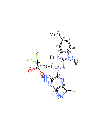 CCn1c(CN(C=O)c2nc3c(C)n[nH]c3nc2N)[n+](CC)c2ccc(OC)cc21.O=C([O-])C(F)(F)F